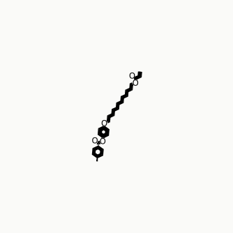 C=CC(=O)OCCCCCCCCCCCCOc1ccc(OC(=O)[C@H]2CC[C@H](C)CC2)cc1